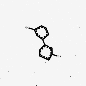 [2H]c1cccc(-c2cccc([2H])c2)c1